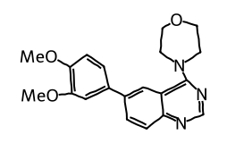 COc1ccc(-c2ccc3ncnc(N4CCOCC4)c3c2)cc1OC